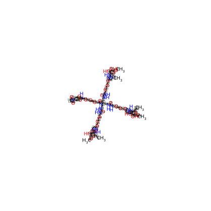 CCC[C@H]1O[C@H](COC)[C@H](O)[C@H](O)[C@H]1Nc1nccc(OCCOCCOCCNC(=O)NCCCC(CCCNC(=O)NCCOCCOCCOc2ccnc(N[C@@H]3[C@@H](O)[C@@H](O)[C@@H](COC)O[C@@H]3CCC)n2)(CCCNC(=O)NCCOCCOCCOc2ccnc(N[C@@H]3[C@@H](O)[C@@H](O)[C@@H](COC)O[C@@H]3CCC)n2)NC(=O)CCOCCOCCOCCNS(=O)(=O)c2ccc(N3C(=O)C=CC3=O)cc2)n1